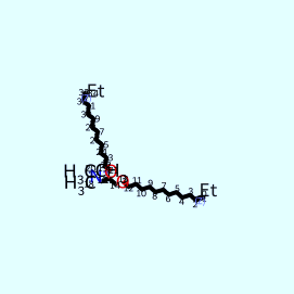 CC/C=C\CCCCCCCCCCOCC(C[N+](C)(C)C)OCCCCCCCCCC/C=C\CC